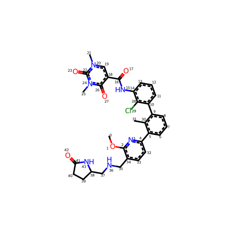 COc1nc(-c2cccc(-c3cccc(NC(=O)c4cn(C)c(=O)n(C)c4=O)c3Cl)c2C)ccc1CNCC1CCC(=O)N1